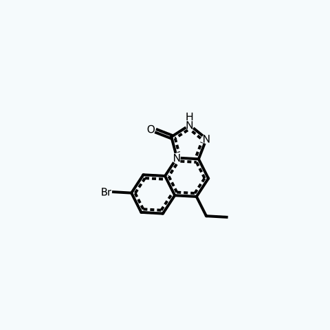 CCc1cc2n[nH]c(=O)n2c2cc(Br)ccc12